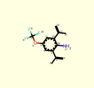 C=C(C)c1cc(OC(F)(F)F)cc(C(=C)C)c1N